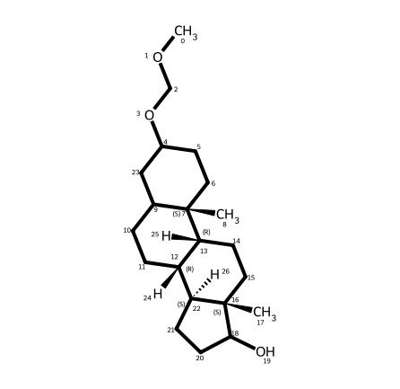 COCOC1CC[C@@]2(C)C(CC[C@@H]3[C@H]2CC[C@]2(C)C(O)CC[C@@H]32)C1